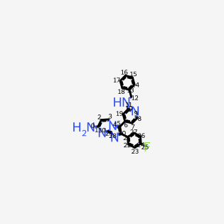 Nc1ccn2c(-c3ccnc(NCc4ccccc4)c3)c(-c3ccc(F)cc3)nc2n1